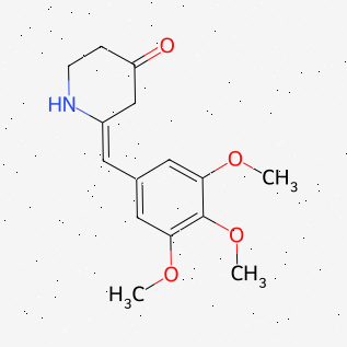 COc1cc(C=C2CC(=O)CCN2)cc(OC)c1OC